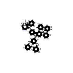 C#C/C=C\c1c(C)c2ccccc2n1-c1ccc2c(c1)c1cc(S(c3ccccc3)(c3ccccc3)c3ccccc3)ccc1n2-c1cc2c3c(c1)Oc1ccccc1B3c1ccccc1O2